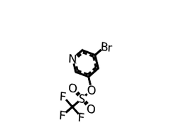 O=S(=O)(Oc1cncc(Br)c1)C(F)(F)F